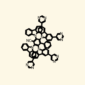 N#Cc1c(-n2c3ccccc3c3ccccc32)c(-n2c3ccc(-c4cncnc4)cc3c3cc(-c4cncnc4)ccc32)c(-c2ccccc2)c(-n2c3ccc(-c4cncnc4)cc3c3cc(-c4cncnc4)ccc32)c1-n1c2ccccc2c2ccccc21